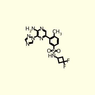 Cc1ccc(S(=O)(=O)NC2CC(F)(F)C2)cc1-c1cnc(N)c(-n2cncn2)n1